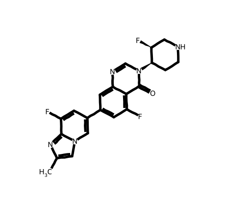 Cc1cn2cc(-c3cc(F)c4c(=O)n([C@@H]5CCNC[C@@H]5F)cnc4c3)cc(F)c2n1